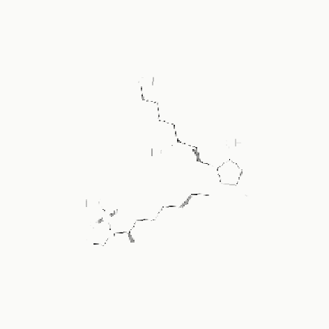 CCCCC[C@H](O)C=C[C@@H]1[C@@H](CC=CCCCC(=O)N(CC)S(C)(=O)=O)[C@@H](O)C[C@H]1O